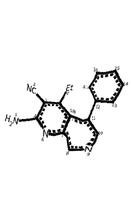 CCc1c(C#N)c(N)nc2cncc(-c3ccccc3)c12